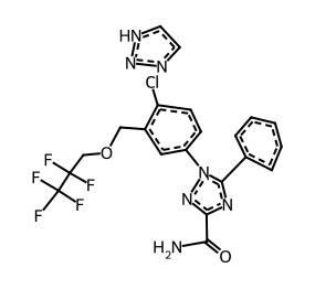 NC(=O)c1nc(-c2ccccc2)n(-c2ccc(Cl)c(COCC(F)(F)C(F)(F)F)c2)n1.c1c[nH]nn1